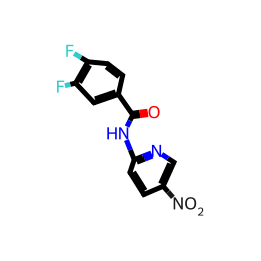 O=C(Nc1ccc([N+](=O)[O-])cn1)c1ccc(F)c(F)c1